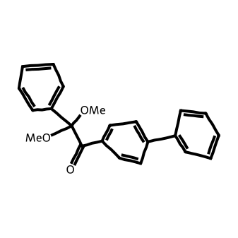 COC(OC)(C(=O)c1ccc(-c2ccccc2)cc1)c1ccccc1